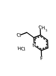 Cc1ccc(F)nc1CCl.Cl